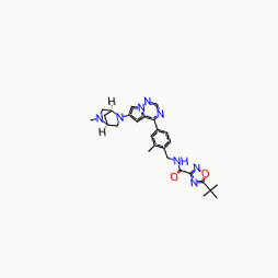 Cc1cc(-c2ncnn3cc(N4C[C@@H]5C[C@H]4CN5C)cc23)ccc1CNC(=O)c1noc(C(C)(C)C)n1